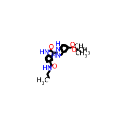 CCCCNC(=O)c1ccc2c(c1)/C(=C1\NCc3cc(C(=O)OC(C)(C)C)ccc3N1)C(=O)N2